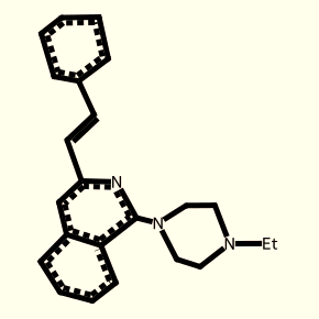 CCN1CCN(c2nc(C=Cc3ccccc3)cc3ccccc23)CC1